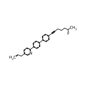 C=CCc1ccc(-c2ccc(-c3ccc(C#CCCCC(C)F)cc3)cc2)nc1